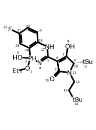 CCO[PH]1(O)N=C(C2=C(O)[C@H](C(C)(C)C)N(CCC(C)(C)C)C2=O)Nc2ccc(F)cc21